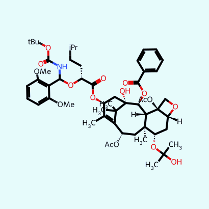 COc1cccc(OC)c1C(NC(=O)OC(C)(C)C)O[C@H](CCC(C)C)C(=O)O[C@H]1C[C@@]2(O)[C@@H](OC(=O)c3ccccc3)[C@H]3[C@](C)(C[C@H](OC(C)=O)C(=C1C)C2(C)C)[C@@H](OC(C)(C)O)C[C@H]1OC[C@]13OC(C)=O